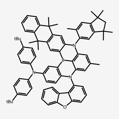 Cc1cc2c3c(c1)N(c1cccc4oc5ccccc5c14)c1ccc(N(c4ccc(C(C)(C)C)cc4)c4ccc(C(C)(C)C)cc4)cc1B3c1cc3c(cc1N2c1cc2c(cc1C)C(C)(C)CC2(C)C)C(C)(C)c1ccccc1C3(C)C